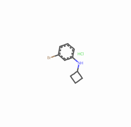 Brc1cccc(NC2CCC2)c1.Cl